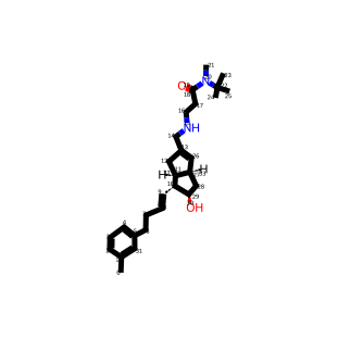 Cc1cccc(CC/C=C/[C@@H]2[C@H]3CC(CNCCC(=O)N(C)C(C)(C)C)=C[C@H]3C[C@H]2O)c1